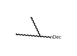 C=CCCCCCCCCCCCCCCC(=CCCCCCCCCCCCCCCCC)CCCCCCCCCCCCC=C